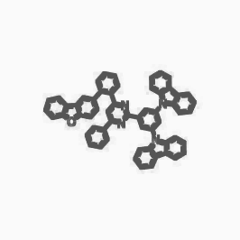 c1ccc(-c2cc(-c3ccccc3-c3ccc4oc5ccccc5c4c3)nc(-c3cc(-n4c5ccccc5c5ccccc54)cc(-n4c5ccccc5c5ccccc54)c3)n2)cc1